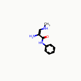 CN/C=C(/N)C(=O)Nc1ccccc1